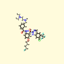 CCN(CC)CCN(C)Cc1cccc(C(=O)Nc2ccc(OCCCCF)cc2C(=O)N/N=C\c2ccc(Cl)c(C(F)(F)F)c2)c1